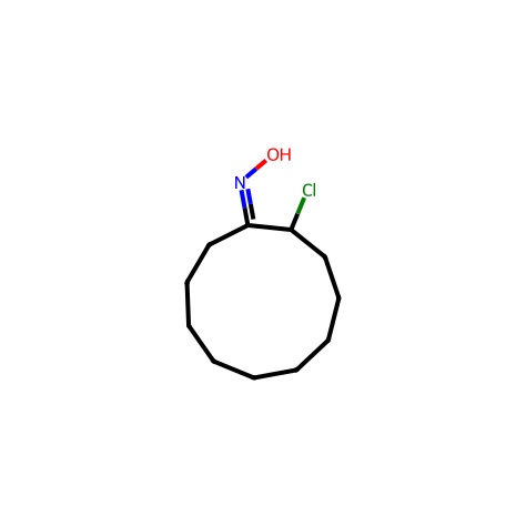 ON=C1CCCCCCCCCC1Cl